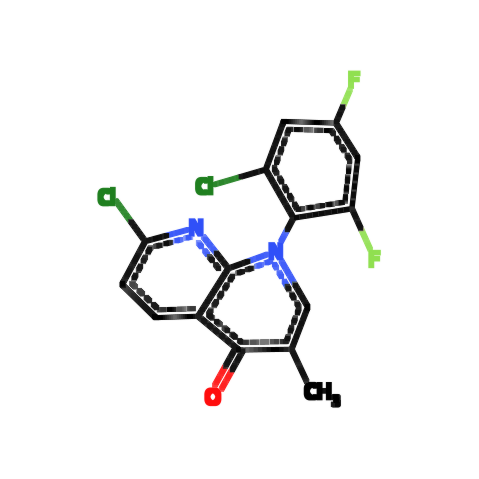 Cc1cn(-c2c(F)cc(F)cc2Cl)c2nc(Cl)ccc2c1=O